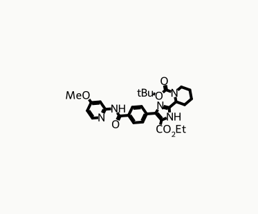 CCOC(=O)c1[nH]c(C2CCCCN2C(=O)OC(C)(C)C)nc1-c1ccc(C(=O)Nc2cc(OC)ccn2)cc1